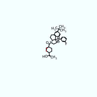 C=C(O)C12CCC(C(=O)N3CCC4(S(=O)(=O)c5cccc(F)c5)c5ccc(C(C)(C)C)cc5CCC34)(CC1)CC2